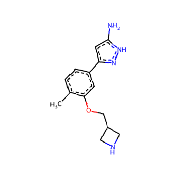 Cc1ccc(-c2cc(N)[nH]n2)cc1OCC1CNC1